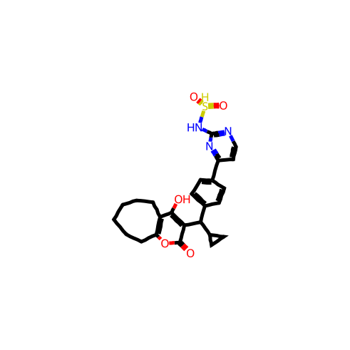 O=c1oc2c(c(O)c1C(c1ccc(-c3ccnc(N[SH](=O)=O)n3)cc1)C1CC1)CCCCCC2